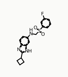 O=S(=O)(CNc1ccc2nc(C3CCC3)[nH]c2c1)c1cccc(F)c1